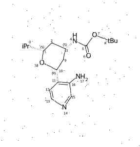 CC(C)[C@@H]1C[C@H](NC(=O)OC(C)(C)C)C[C@H](c2ccncc2N)O1